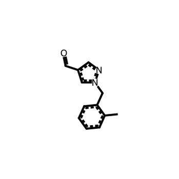 Cc1ccccc1Cn1cc(C=O)cn1